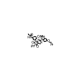 C=CC(=O)Nc1cccc(-n2c(=O)n(C(C)C)c(=O)c3cnc(Nc4ccc(OCCN(C)C)cc4OC)nc32)c1